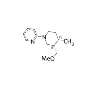 COC[C@@H]1CN(c2ccccn2)CC[C@@H]1C